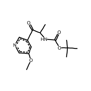 COc1cncc(C(=O)C(C)NC(=O)OC(C)(C)C)c1